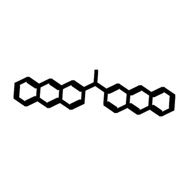 CC(c1ccc2cc3ccccc3cc2c1)c1ccc2cc3ccccc3cc2c1